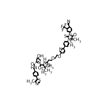 Cc1ncsc1-c1ccc(CNC(=O)[C@@H]2C[C@@H](O)CN2C(=O)[C@@H](NC(=O)CCOCCOc2ccc(-c3ccc(N4C(=S)N(c5ccc(C#N)c(C(F)(F)F)c5)C(=O)C4(C)C)cc3)nc2)C(C)(C)C)cc1